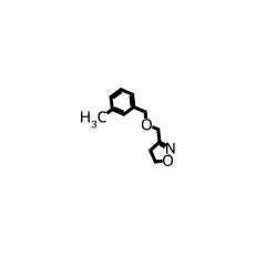 Cc1cccc(COCC2=NOCC2)c1